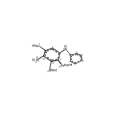 CCCCCc1cc(Nc2ccccc2)c(CCCCC)c(CCCCC)c1N